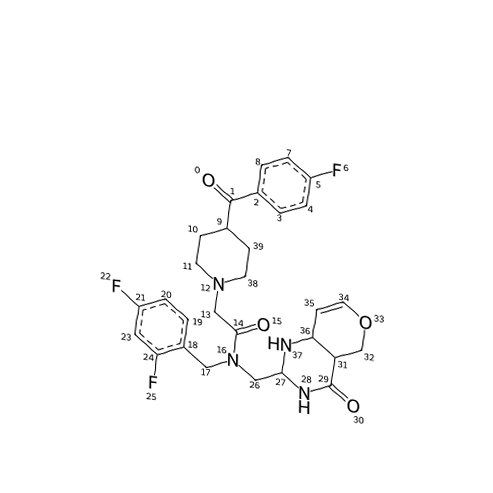 O=C(c1ccc(F)cc1)C1CCN(CC(=O)N(Cc2ccc(F)cc2F)CC2NC(=O)C3COC=CC3N2)CC1